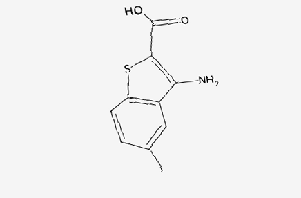 Cc1ccc2sc(C(=O)O)c(N)c2c1